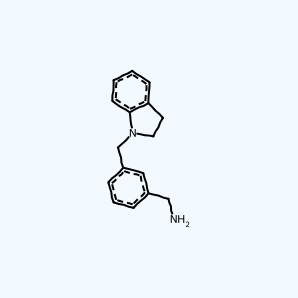 NCc1cccc(CN2CCc3ccccc32)c1